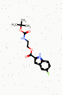 CC(C)(C)OC(=O)NCCOC(=O)c1cc2cc(F)ccc2[nH]1